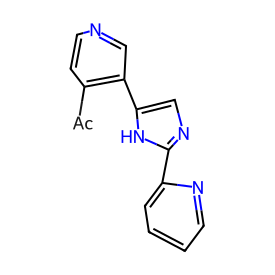 CC(=O)c1ccncc1-c1cnc(-c2ccccn2)[nH]1